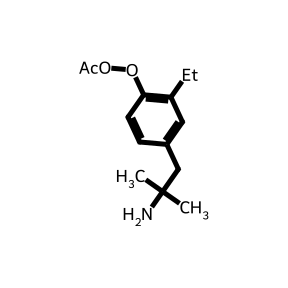 CCc1cc(CC(C)(C)N)ccc1OOC(C)=O